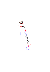 N#COCCCCCCNC(=O)OCC1COc2cscc2O1